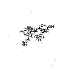 CC(=O)O.OCC(O)CCCCCCCCCCCS.OCCO.OCCO.OCCO.OCCO.OCCO